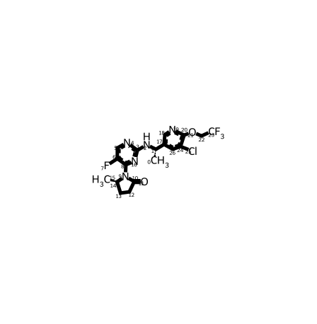 C[C@H](Nc1ncc(F)c(N2C(=O)CC[C@H]2C)n1)c1cnc(OCC(F)(F)F)c(Cl)c1